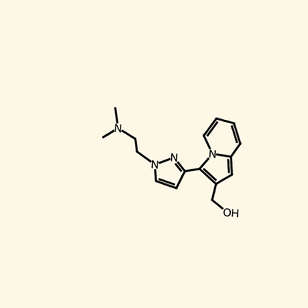 CN(C)CCn1ccc(-c2c(CO)cc3ccccn23)n1